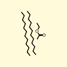 CCCCCCCCCCCC.CCCCCCCCCCCC.CCOC(C)=O